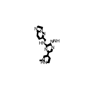 CN1C=C(c2cnc(N=N)c(NCc3ccc4nccn4n3)n2)C=CN1